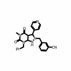 CC(C)CN1C(=O)N(C)C(=O)C2C(c3ccncc3)N(Cc3cccc(C#N)c3)NC21